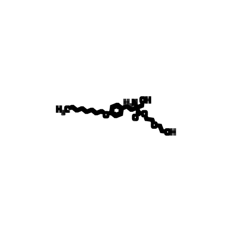 CCCCCCCCOc1ccc(CCC(N)(CO)C(=O)OCCOCCO)cc1